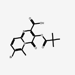 Cc1c(Br)ccc2nc(C(=O)O)c(OC(=O)C(C)(C)C)c(=O)n12